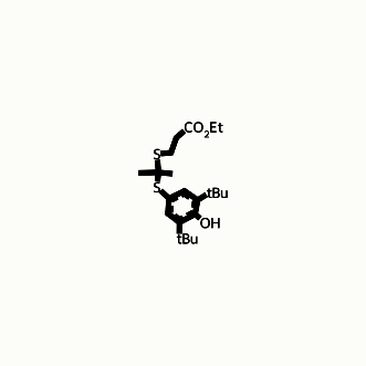 CCOC(=O)CCSC(C)(C)Sc1cc(C(C)(C)C)c(O)c(C(C)(C)C)c1